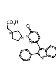 O=C(O)C[C@@H]1CC[C@@H](n2nc(-c3c(-c4ccccc4)nn4ccccc34)ccc2=O)C1